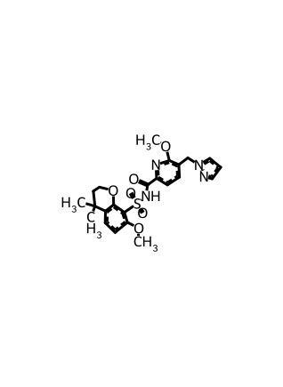 COc1ccc2c(c1S(=O)(=O)NC(=O)c1ccc(Cn3cccn3)c(OC)n1)OCCC2(C)C